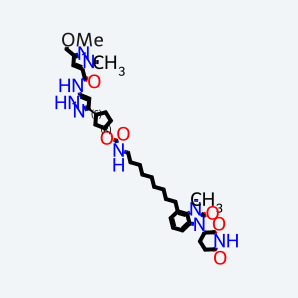 COCc1cc(C(=O)Nc2cc([C@H]3CC[C@@H](OC(=O)NCCCCCCCCCc4cccc5c4n(C)c(=O)n5C4CCC(=O)NC4=O)C3)n[nH]2)n(C)n1